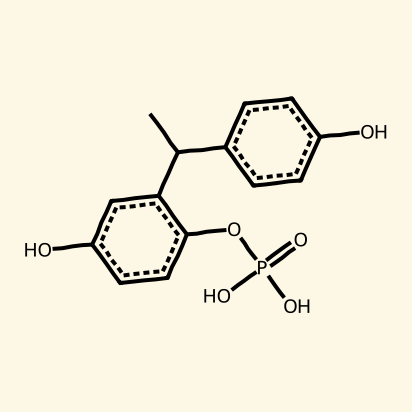 CC(c1ccc(O)cc1)c1cc(O)ccc1OP(=O)(O)O